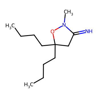 CCCCC1(CCCC)CC(=N)N(C)O1